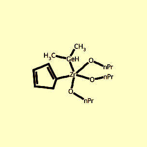 CCC[O][Zr]([O]CCC)([O]CCC)([C]1=CC=CC1)[GeH]([CH3])[CH3]